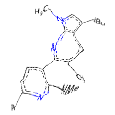 CCC(C)c1cn(C)c2nc(-c3ccc(C(C)C)nc3NC)c(C)cc12